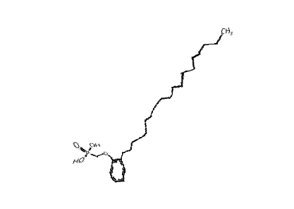 CCCCCCCCCCCCCCCCCc1ccccc1OCP(=O)(O)O